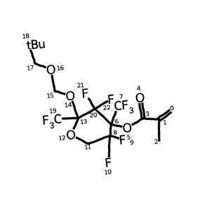 C=C(C)C(=O)OC1(C(F)(F)F)C(F)(F)COC(OCOCC(C)(C)C)(C(F)(F)F)C1(F)F